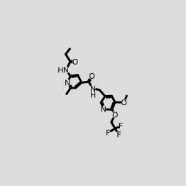 CCC(=O)Nc1cc(C(=O)NCc2cnc(OCC(F)(F)F)c(OC)c2)cc(C)n1